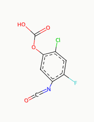 O=C=Nc1cc(OC(=O)O)c(Cl)cc1F